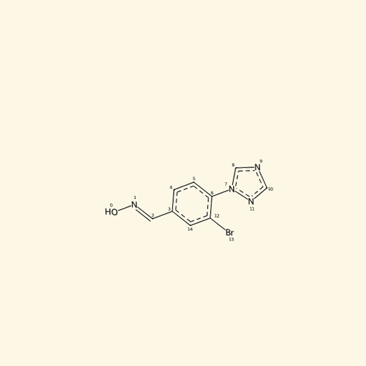 ON=Cc1ccc(-n2cncn2)c(Br)c1